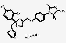 CCCn1nc(C)n(-c2ccc(OCC3COC(Cn4ccnc4)(c4ccc(Cl)cc4Cl)O3)cc2)c1=O.O=[N+]([O-])O